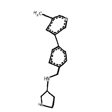 Cc1cncc(-c2ccc(CNC3CCNC3)cc2)c1